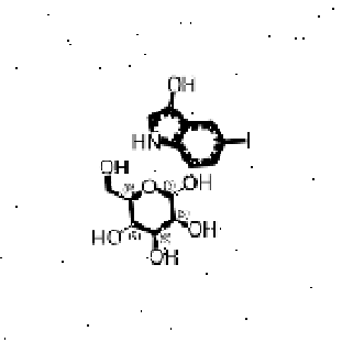 OC[C@H]1O[C@H](O)[C@@H](O)[C@@H](O)[C@@H]1O.Oc1c[nH]c2ccc(I)cc12